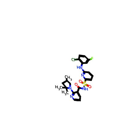 CC1CN(c2ncccc2C(=O)NS(=O)(=O)c2cccc(Nc3cc(F)ccc3Cl)n2)C(C)(C)C1